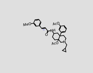 COc1cccc(/C=C/C(=O)NC2CCC3(OC(C)=O)CN(CC4CC4)CCC3(c3cccc(OC(C)=O)c3)C2)c1